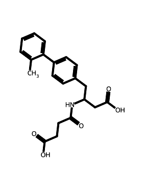 Cc1ccccc1-c1ccc(CC(CC(=O)O)NC(=O)CCC(=O)O)cc1